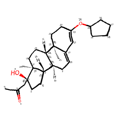 CC(=O)[C@@]1(O)CC[C@H]2[C@@H]3CC=C4C=C(OC5CCCC5)CC[C@]4(C)[C@H]3CC[C@@]21C